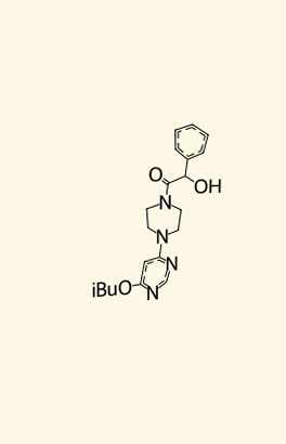 CC(C)COc1cc(N2CCN(C(=O)C(O)c3ccccc3)CC2)ncn1